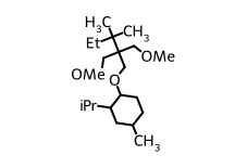 CCC(C)(C)C(COC)(COC)COC1CCC(C)CC1C(C)C